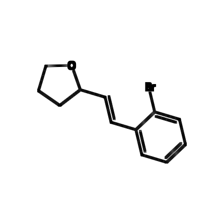 Brc1ccccc1C=CC1CCCO1